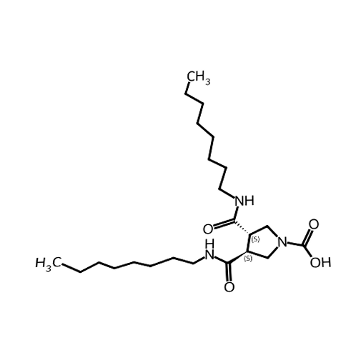 CCCCCCCCNC(=O)[C@@H]1CN(C(=O)O)C[C@H]1C(=O)NCCCCCCCC